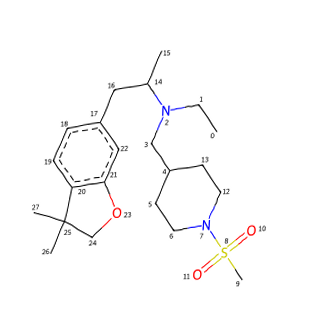 CCN(CC1CCN(S(C)(=O)=O)CC1)C(C)Cc1ccc2c(c1)OCC2(C)C